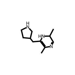 CC1=C(CC2CCNC2)NC(C)C=N1